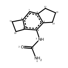 NC(=O)Nc1c2c(cc3c1CC3)CCC2